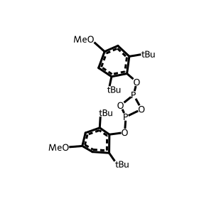 COc1cc(C(C)(C)C)c(OP2OP(Oc3c(C(C)(C)C)cc(OC)cc3C(C)(C)C)O2)c(C(C)(C)C)c1